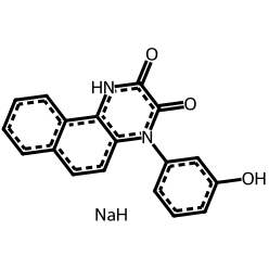 O=c1[nH]c2c3ccccc3ccc2n(-c2cccc(O)c2)c1=O.[NaH]